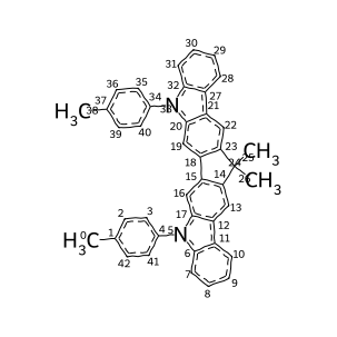 Cc1ccc(-n2c3ccccc3c3cc4c(cc32)-c2cc3c(cc2C4(C)C)c2ccccc2n3-c2ccc(C)cc2)cc1